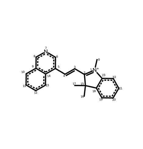 C[N+]1=C(/C=C/c2cncc3ccccc23)C(C)(C)c2ccccc21